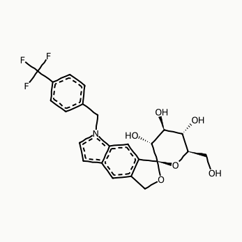 OC[C@H]1O[C@]2(OCc3cc4ccn(Cc5ccc(C(F)(F)F)cc5)c4cc32)[C@H](O)[C@@H](O)[C@@H]1O